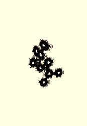 c1ccc(-c2cc(-c3ccccc3)cc(-n3c4ccccc4c4c3ccc3c5ccccc5n(-c5ccc(-c6ccccc6)c6ccccc56)c34)c2)cc1